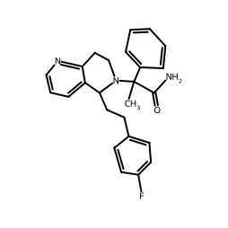 CC(C(N)=O)(c1ccccc1)N1CCc2ncccc2C1CCc1ccc(F)cc1